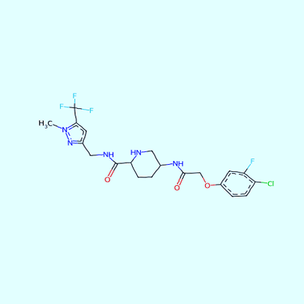 Cn1nc(CNC(=O)C2CCC(NC(=O)COc3ccc(Cl)c(F)c3)CN2)cc1C(F)(F)F